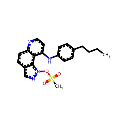 CCCCc1ccc(Nc2ccnc3ccc4cnn(OS(C)(=O)=O)c4c23)cc1